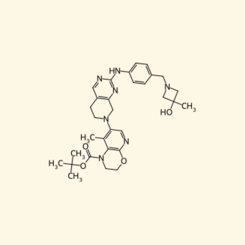 Cc1c(N2CCc3cnc(Nc4ccc(CN5CC(C)(O)C5)cc4)nc3C2)cnc2c1N(C(=O)OC(C)(C)C)CCO2